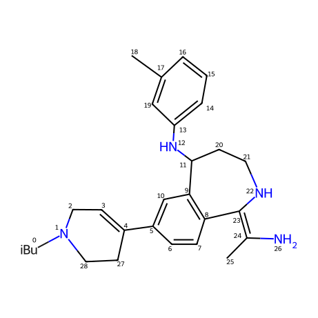 CCC(C)N1CC=C(c2ccc3c(c2)C(Nc2cccc(C)c2)CCN/C3=C(/C)N)CC1